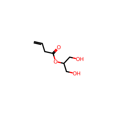 C=CCC(=O)OC(CO)CO